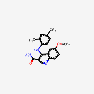 COc1ccc2ncc(C(N)=O)c(Nc3ccc(C)cc3C)c2c1